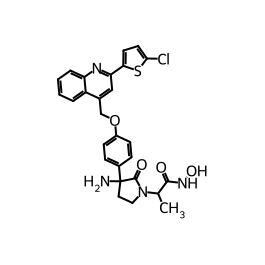 CC(C(=O)NO)N1CCC(N)(c2ccc(OCc3cc(-c4ccc(Cl)s4)nc4ccccc34)cc2)C1=O